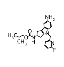 CC(C)COC(=O)N[C@@H]1Cc2c(n(Cc3cccc(F)n3)c3ccc(N)cc23)C1